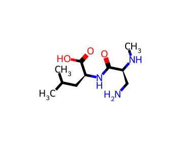 CN[C@@H](CN)C(=O)N[C@@H](CC(C)C)C(=O)O